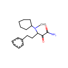 NC(=O)C(=O)C(CCc1ccccc1)N(C=O)C1CCCCC1